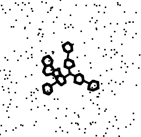 c1ccc(-c2ccc(N(c3ccc(-c4ccccc4)cc3)c3ccc(-c4ccccc4)c4c3oc3c5ccccc5ccc34)cc2)cc1